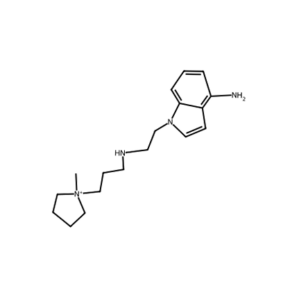 C[N+]1(CCCNCCn2ccc3c(N)cccc32)CCCC1